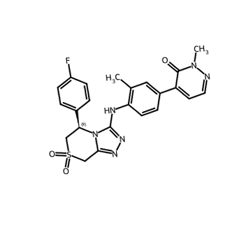 Cc1cc(-c2ccnn(C)c2=O)ccc1Nc1nnc2n1[C@H](c1ccc(F)cc1)CS(=O)(=O)C2